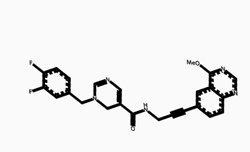 COc1ncnc2ccc(C#CCNC(=O)C3=CN=CN(Cc4ccc(F)c(F)c4)C3)cc12